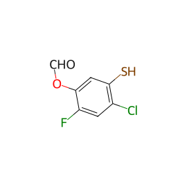 O=COc1cc(S)c(Cl)cc1F